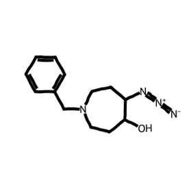 [N-]=[N+]=NC1CCN(Cc2ccccc2)CCC1O